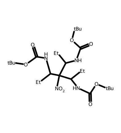 CCC(NC(=O)OC(C)(C)C)C(C(CC)NC(=O)OC(C)(C)C)(C(CC)NC(=O)OC(C)(C)C)[N+](=O)[O-]